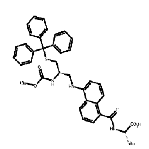 CCCC[C@H](NC(=O)c1cccc2c(NC[C@H](CSC(c3ccccc3)(c3ccccc3)c3ccccc3)NC(=O)OC(C)(C)C)cccc12)C(=O)O